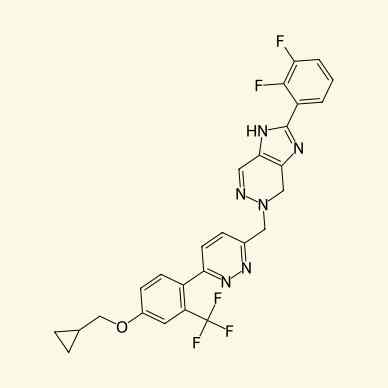 Fc1cccc(-c2nc3c([nH]2)C=NN(Cc2ccc(-c4ccc(OCC5CC5)cc4C(F)(F)F)nn2)C3)c1F